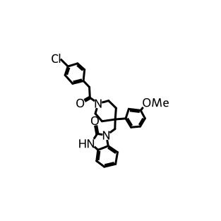 COc1cccc(C2(Cn3c(=O)[nH]c4ccccc43)CCN(C(=O)Cc3ccc(Cl)cc3)CC2)c1